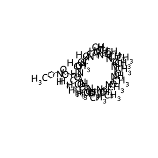 CC[C@@H]1NC(=O)C([C@H](O)[C@H](C)C/C=C/COC(=O)NCc2ccc(C)cc2)N(C)C(=O)[C@H](C(C)C)N(C)C(=O)[C@@H](CC(C)C)N(C)C(=O)[C@@H](CC(C)C)N(C)C(=O)[C@@H](C)NC(=O)[C@H](C)NC(=O)[C@H](CC(C)C)N(C)C(=O)[C@H](C(C)C)NC(=O)C(CC(C)C)N(C)C(=O)CN(C)C1=O